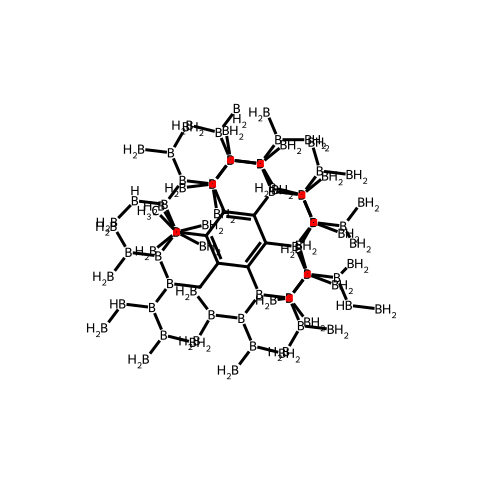 BBB(B)B(B(B)B)B(B(B(B)B)B(B)B)c1c(B(B(B(B)B)B(B)B)B(B(B)B)B(B)B)c(CB(B(BB)B(B)B)B(B(B)B)B(B)B)c(CC)c(B(B(B(B)B)B(B)B)B(B(B)B)B(BB)B(B)B)c1B(B(B(B)B)B(B)B)B(B(B)B)B(B)B(B)B